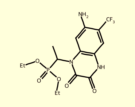 CCOP(=O)(OCC)C(C)n1c(=O)c(=O)[nH]c2cc(C(F)(F)F)c(N)cc21